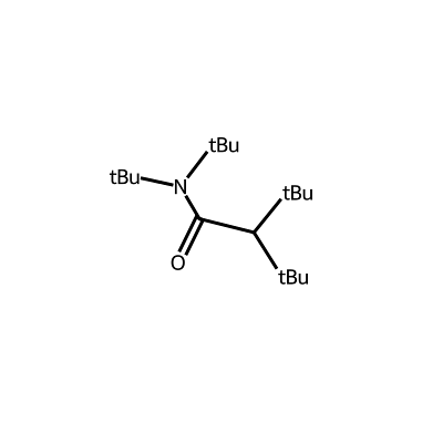 CC(C)(C)C(C(=O)N(C(C)(C)C)C(C)(C)C)C(C)(C)C